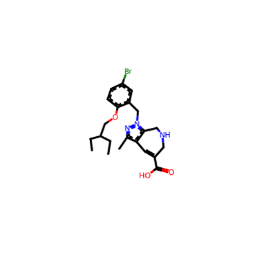 CCC(CC)COc1ccc(Br)cc1Cn1nc(C)c2c1CNCC(C(=O)O)=C2